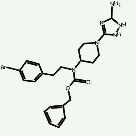 NC1N=C(N2CCC(N(CCc3ccc(Br)cc3)C(=O)OCc3ccccc3)CC2)NN1